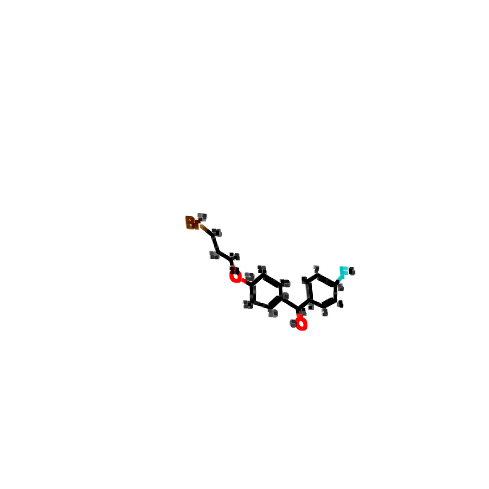 O=C(c1ccc(F)cc1)c1ccc(OCCCBr)cc1